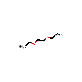 CCCCCCOCCOCC(=O)O